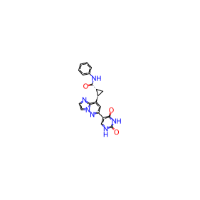 O=C(Nc1ccccc1)[C@@H]1C[C@H]1c1cc(-c2c[nH]c(=O)[nH]c2=O)nn2ccnc12